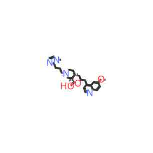 COc1ccc2nccc(CCC[C@@H]3CCN(CCCc4nccn4C)C[C@@H]3C(=O)O)c2c1